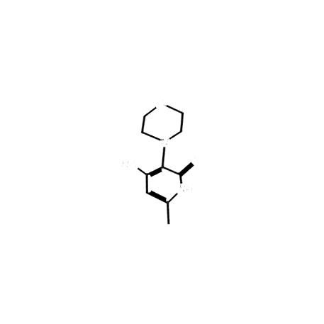 Cc1cc(O)c(N2CCOCC2)c(=O)[nH]1